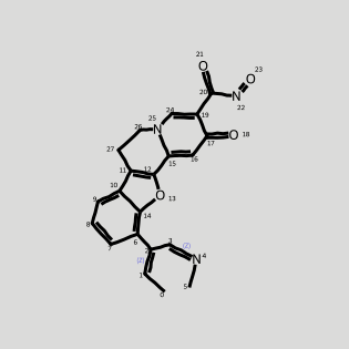 C/C=C(\C=N/C)c1cccc2c3c(oc12)-c1cc(=O)c(C(=O)N=O)cn1CC3